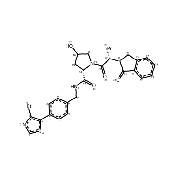 CCc1ncsc1-c1ccc(CNC(=O)[C@@H]2CC(O)CN2C(=O)[C@H](C(C)C)N2Cc3ccccc3C2=O)cc1